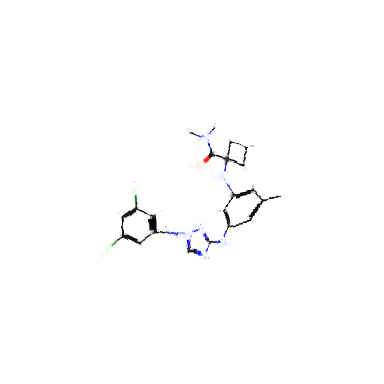 Cc1cc(Nc2ncn(-c3cc(F)cc(F)c3)n2)cc(NC2(C(=O)N(C)C)CCC2)c1